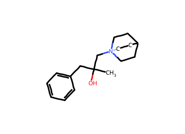 CC(O)(Cc1ccccc1)C[N+]12CCC(CC1)CC2